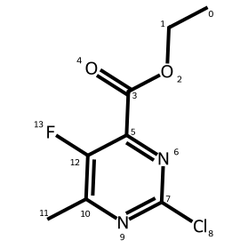 CCOC(=O)c1nc(Cl)nc(C)c1F